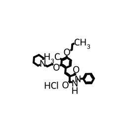 CCCOc1ccc(C=C2C(=O)NN(c3ccccc3)C2=O)c(OCCN2CCCCC2)c1C.Cl